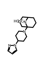 O=C(O)N1C2CCCC1(N1CCC(n3cccn3)CC1)COC2